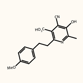 COc1ccc(CCc2nc(C)c(O)c(C#N)c2C(=O)O)cc1